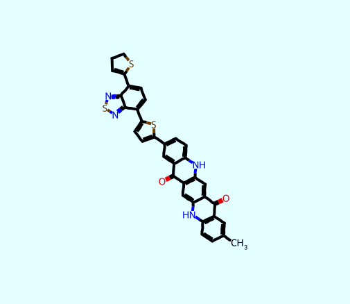 Cc1ccc2[nH]c3cc4c(=O)c5cc(-c6ccc(-c7ccc(C8=CCCS8)c8nsnc78)s6)ccc5[nH]c4cc3c(=O)c2c1